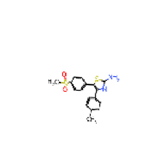 CS(=O)(=O)c1ccc(-c2sc(N)nc2-c2ccc(C(F)(F)F)cc2)cc1